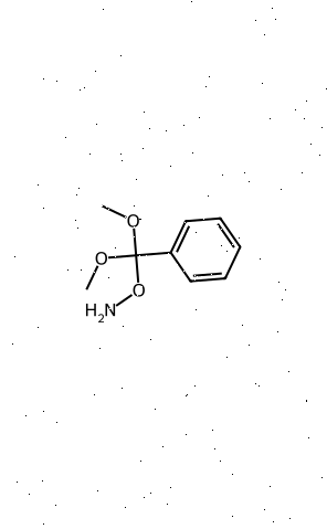 COC(OC)(ON)c1ccccc1